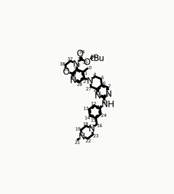 Cc1c(N2CCc3cnc(Nc4cccc(CN5CCN(C)CC5)c4)nc3C2)cnc2c1N(C(=O)OC(C)(C)C)CCO2